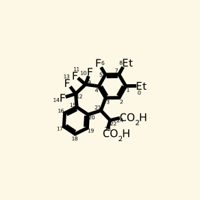 CCc1cc2c(c(F)c1CC)C(F)(F)C(F)(F)c1ccccc1C2C(C(=O)O)C(=O)O